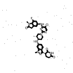 C[C@@H]1CN(c2ncc(Cl)c(Nc3cc(F)c4c(c3)CC(=O)N4C)n2)CC[C@H]1Nc1ccc2c([C@@H]3CCC(=O)NC3=O)nn(C)c2c1